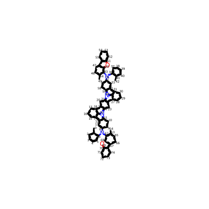 Cc1ccccc1N(c1ccc2c(c1)c1cccc3c4cc5c(cc4n2c13)c1cccc2c3cc(N(c4ccccc4C)c4c(C)ccc6c4oc4ccccc46)ccc3n5c21)c1c(C)ccc2c1oc1ccccc12